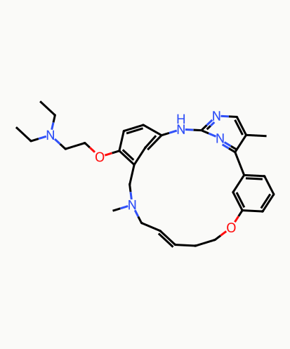 CCN(CC)CCOc1ccc2cc1CN(C)C/C=C/CCOc1cccc(c1)-c1nc(ncc1C)N2